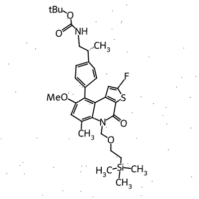 COc1cc(C)c2c(c1-c1ccc([C@@H](C)CNC(=O)OC(C)(C)C)cc1)c1cc(F)sc1c(=O)n2COCC[Si](C)(C)C